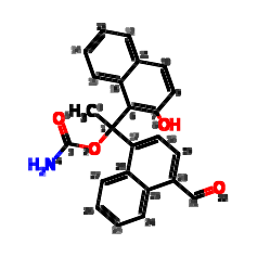 CC(OC(N)=O)(c1c(O)ccc2ccccc12)c1ccc(C=O)c2ccccc12